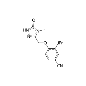 CC(C)c1cc(C#N)ccc1OCc1n[nH]c(=O)n1C